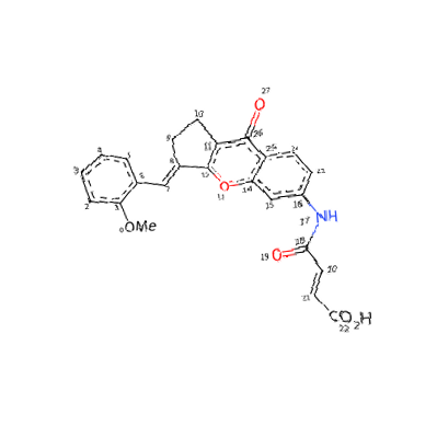 COc1ccccc1C=C1CCc2c1oc1cc(NC(=O)C=CC(=O)O)ccc1c2=O